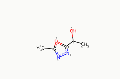 Cc1nnc(C(C)O)o1